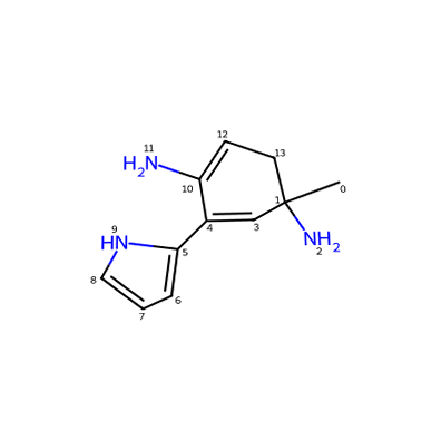 CC1(N)C=C(c2ccc[nH]2)C(N)=CC1